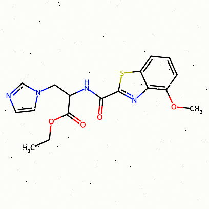 CCOC(=O)C(Cn1ccnc1)NC(=O)c1nc2c(OC)cccc2s1